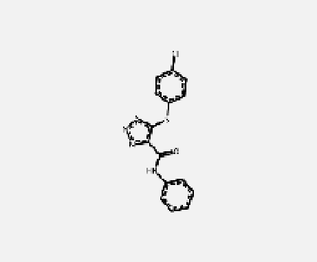 O=C(Nc1ccccc1)c1nnsc1Sc1ccc(Cl)cc1